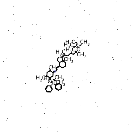 C=C1CC(=C)[C@H](O[Si](c2ccccc2)(c2ccccc2)C(C)(C)C)C/C1=C/C=C1CCC[C@@]2(C)C1CC[C@@H]2[C@H](C)CCCC(C)(C)O[Si](CC)(CC)CC